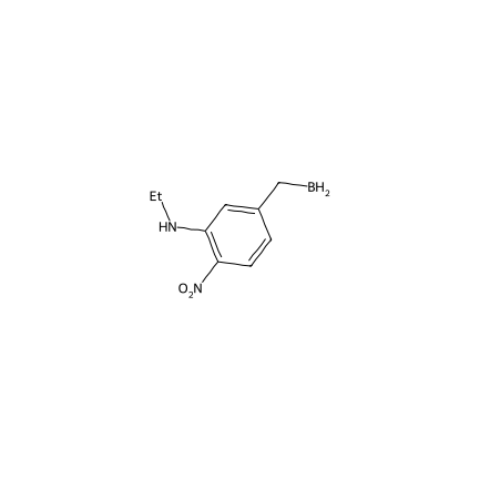 BCc1ccc([N+](=O)[O-])c(NCC)c1